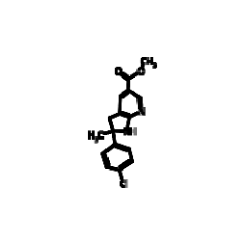 COC(=O)c1cnc2c(c1)CC(C)(c1ccc(Cl)cc1)N2